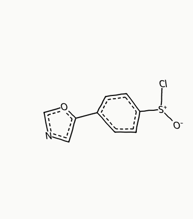 [O-][S+](Cl)c1ccc(-c2cnco2)cc1